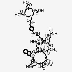 C[C@H](NC(=O)[C@H](CCCNC(=N)N)NC(=O)CCCCCNC(=O)c1ccc(CNC(=O)CN2CCN(CC(=O)O)CCN(CC(=O)O)CCN(CC(=O)O)CC2)cc1)C(=O)N[C@@H]1CSSC(C)(C)[C@@H](C(=O)O)NC(=O)[C@H](Cc2c[nH]cn2)NC(=O)[C@H](Cc2ccc3ccccc3c2)NC(=O)[C@H](CCCNC(=N)N)NC1=O